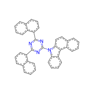 c1ccc2c(-c3nc(-c4cccc5ccccc45)nc(-n4c5ccccc5c5c6ccccc6ccc54)n3)cccc2c1